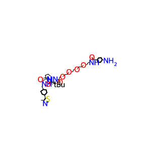 Cc1ncsc1-c1ccc(CNC(=O)[C@@H]2CCCN2C(=O)[C@@H](NC(=O)COCCOCCOCCOCCNC(=O)c2ccc(N)cc2)C(C)(C)C)cc1